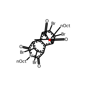 CCCCCCCCn1c(=O)c2c(Br)c(Br)c(c1=O)c1c3c(Br)c(Br)c(c(=O)n(CCCCCCCC)c3=O)c21